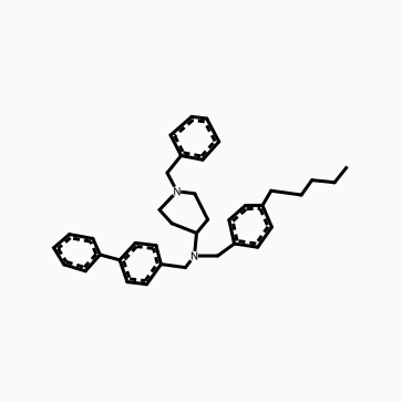 CCCCCc1ccc(CN(Cc2ccc(-c3ccccc3)cc2)C2CCN(Cc3ccccc3)CC2)cc1